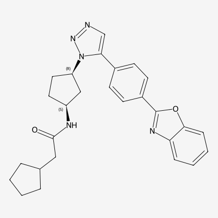 O=C(CC1CCCC1)N[C@H]1CC[C@@H](n2nncc2-c2ccc(-c3nc4ccccc4o3)cc2)C1